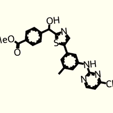 COC(=O)c1ccc(C(O)c2ncc(-c3cc(C)cc(Nc4nccc(C(F)(F)F)n4)c3)s2)cc1